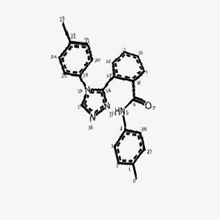 Cc1ccc(NC(=O)c2ccccc2-c2nncn2-c2ccc(C)cc2)cc1